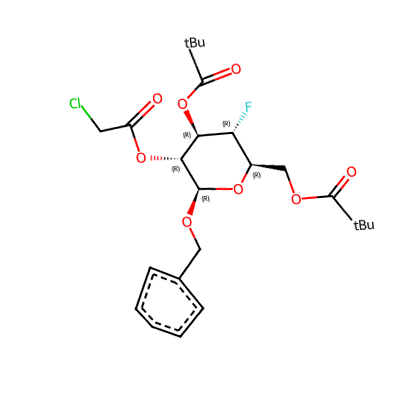 CC(C)(C)C(=O)OC[C@H]1O[C@@H](OCc2ccccc2)[C@H](OC(=O)CCl)[C@@H](OC(=O)C(C)(C)C)[C@@H]1F